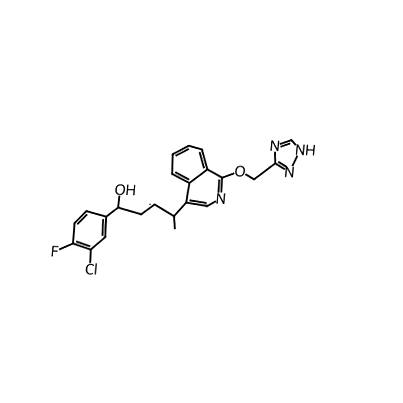 CC([CH]CC(O)c1ccc(F)c(Cl)c1)c1cnc(OCc2nc[nH]n2)c2ccccc12